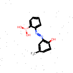 OB(O)c1ccccc1N=Nc1cc(C(F)(F)F)ccc1O